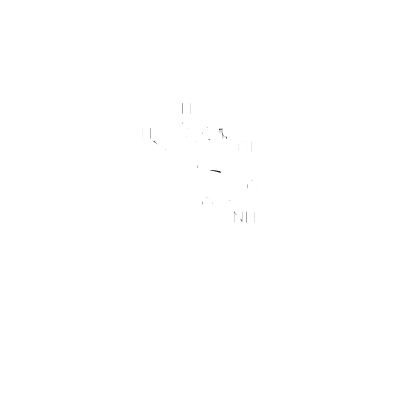 CC1(C)[C@@H]2CC[C@@]1(CS(=O)(=O)NCc1ccccc1)C(=NO)C2